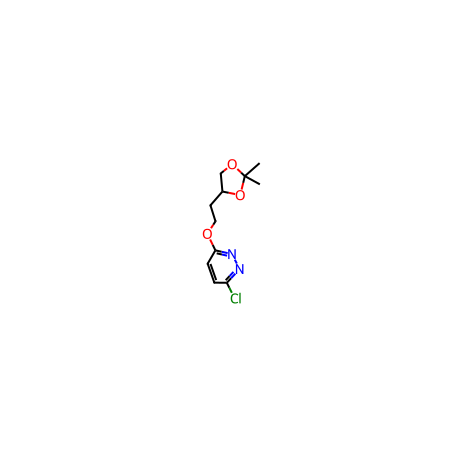 CC1(C)OCC(CCOc2ccc(Cl)nn2)O1